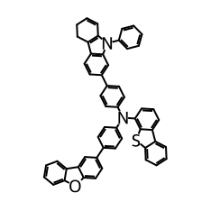 C1=Cc2c(c3ccc(-c4ccc(N(c5ccc(-c6ccc7oc8ccccc8c7c6)cc5)c5cccc6c5sc5ccccc56)cc4)cc3n2-c2ccccc2)CC1